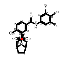 C=C1CC2CCC(C1)N2S(=O)(=O)c1cc(C(=O)Nc2cc(F)c(F)c(F)c2)ccc1Cl